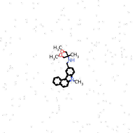 COCC(C)(COC)NCc1ccc2c(c1)c1c3ccccc3ccc1n2C